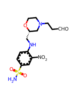 NS(=O)(=O)c1ccc(NC[C@H]2CN(CCC=O)CCO2)c([N+](=O)[O-])c1